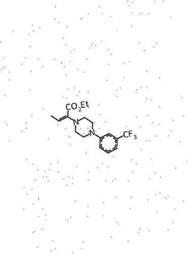 CC=C(C(=O)OCC)N1CCN(c2cccc(C(F)(F)F)c2)CC1